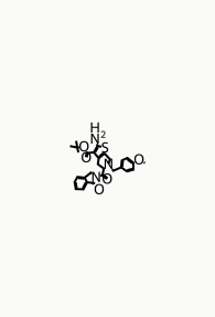 COc1ccc(CN2Cc3sc(N)c(C(=O)OC(C)(C)C)c3CC2C(=O)N2Cc3ccccc3C2=O)cc1